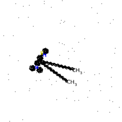 CCCCCCCCCCCCCCCCCCC1(CCCCCCCCCCCCCCCCCC)c2cc(-c3nc4ccccc4s3)ccc2-c2ccc(N(c3ccccc3)c3ccccc3)cc21